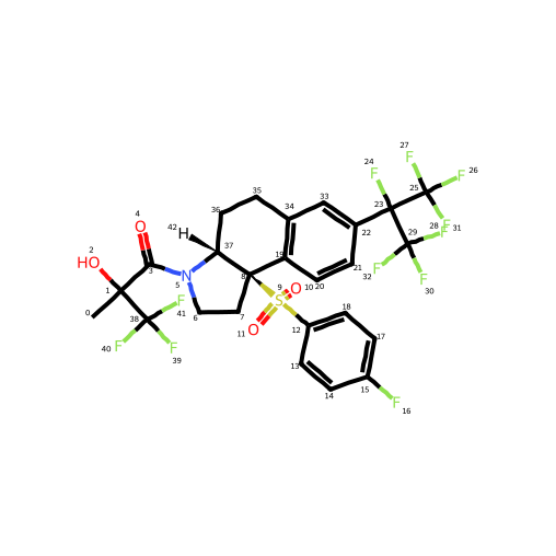 CC(O)(C(=O)N1CC[C@@]2(S(=O)(=O)c3ccc(F)cc3)c3ccc(C(F)(C(F)(F)F)C(F)(F)F)cc3CC[C@@H]12)C(F)(F)F